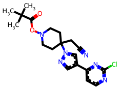 CC(C)(C)C(=O)ON1CCC(CC#N)(n2cc(-c3ccnc(Cl)n3)cn2)CC1